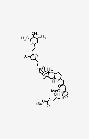 C=C1C(C)CC(CC[C@@H]2OC(CC[C@@]34CC5OC6C(O3)[C@H]3OC(CC(=O)CC7CO[C@H](CC(O)CNC(=O)OC(C)(C)C)[C@@H]7OC)CCC3O[C@H]6C5O4)CC2=C)OC1C